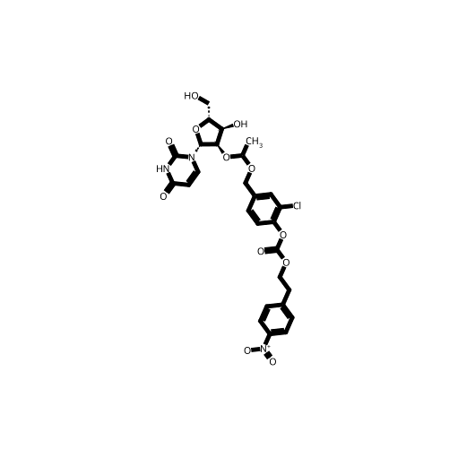 CC(OCc1ccc(OC(=O)OCCc2ccc([N+](=O)[O-])cc2)c(Cl)c1)O[C@@H]1[C@H](O)[C@@H](CO)O[C@H]1n1ccc(=O)[nH]c1=O